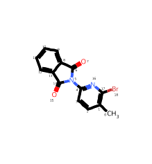 Cc1ccc(N2C(=O)c3ccccc3C2=O)nc1Br